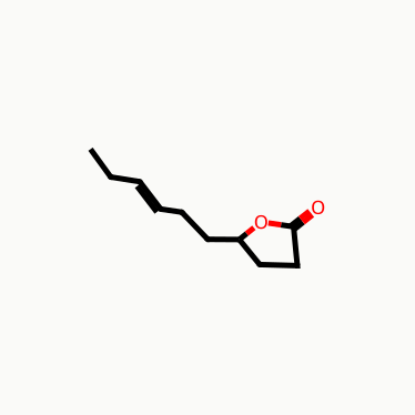 CC/C=C/CCC1CCC(=O)O1